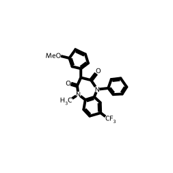 COc1cccc(C2C(=O)N(C)c3ccc(C(F)(F)F)cc3N(c3ccccc3)C2=O)c1